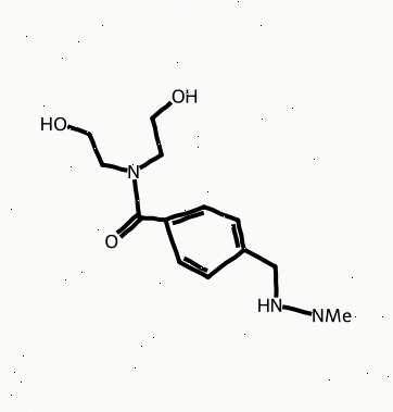 CNNCc1ccc(C(=O)N(CCO)CCO)cc1